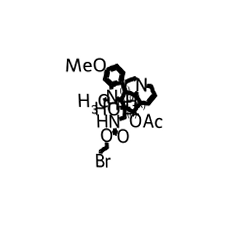 CC[C@]12C=CCN3CC[C@@]4(c5ccc(OC)cc5N(C)[C@H]4C(O)(CNC(=O)OCCBr)[C@@H]1OC(C)=O)[C@@H]32